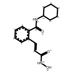 O=C(C=Cc1ccccc1C(=O)NC1CCCCC1)NO